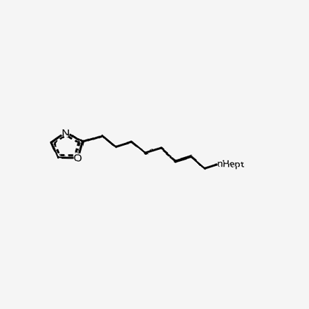 CCCCCCCCCCCCCCCc1ncco1